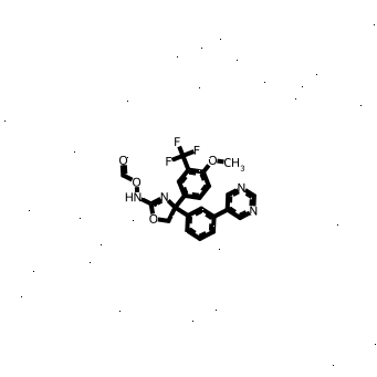 COc1ccc(C2(c3cccc(-c4cncnc4)c3)COC(NOC=O)=N2)cc1C(F)(F)F